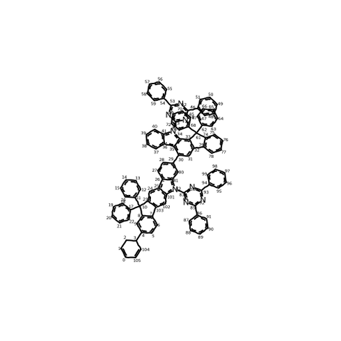 C1=CCC(c2ccc3c(c2)C(c2ccccc2)(c2ccccc2)c2cc4c5ccc(-c6cc7c(c8c6c6ccccc6n8-c6nc(-c8ccccc8)nc(-c8ccccc8)n6)C(c6ccccc6)(c6ccccc6)c6ccccc6-7)cc5n(-c5nc(-c6ccccc6)nc(-c6ccccc6)n5)c4cc2-3)C=C1